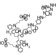 CC1(C)C(/C=C/C2=C(Oc3ccc(C[C@@H](NC(=O)c4ccc(NCc5cnc6nc(N)[nH]c(=O)c6n5)cc4)C(=O)O)cc3)C(=C/C=C3/N(CCCCS(=O)(=O)O)c4ccccc4C3(C)C)/CCC2)=[N+](CCCCS(=O)(=O)O)c2ccccc21